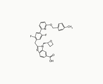 Cc1ccc(COc2cccc(-c3cc(F)c(Cc4nc5ccc(C(=O)O)cc5n4C[C@@H]4CCO4)cc3F)n2)cc1